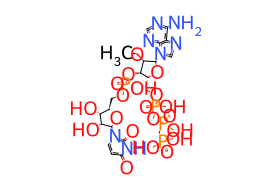 CO[C@@H]1[C@H](OP(=O)(O)OC[C@H]2O[C@@H](n3ccc(=O)[nH]c3=O)[C@H](O)[C@@H]2O)[C@@H](COP(=O)(O)OP(=O)(O)CP(=O)(O)O)O[C@H]1n1cnc2c(N)ncnc21